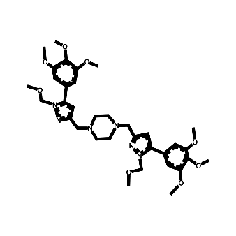 COCn1nc(CN2CCN(Cc3cc(-c4cc(OC)c(OC)c(OC)c4)n(COC)n3)CC2)cc1-c1cc(OC)c(OC)c(OC)c1